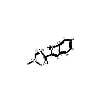 CN(C)/C=N\C(=O)c1cc2ccccc2[nH]1